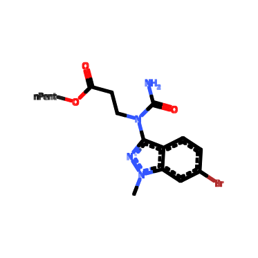 CCCCCOC(=O)CCN(C(N)=O)c1nn(C)c2cc(Br)ccc12